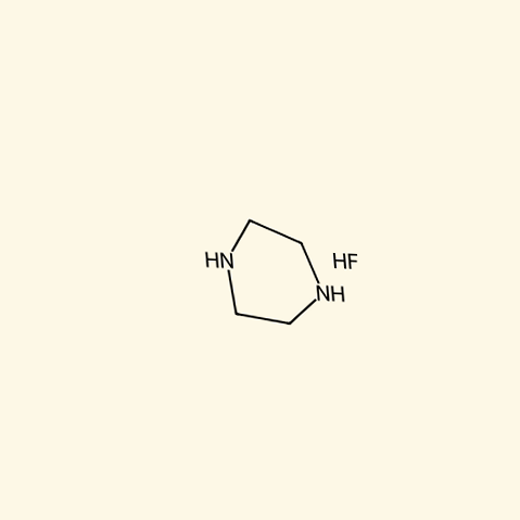 C1CNCCN1.F